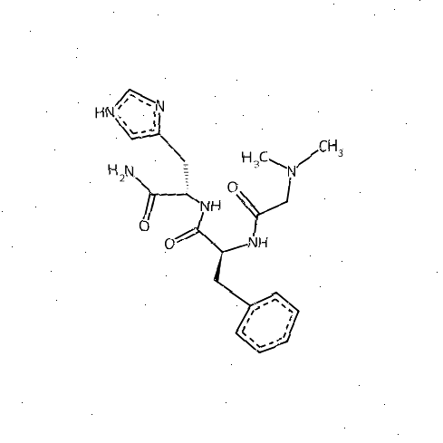 CN(C)CC(=O)N[C@@H](Cc1ccccc1)C(=O)N[C@@H](Cc1c[nH]cn1)C(N)=O